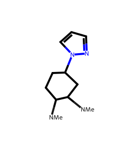 CNC1CCC(n2cccn2)CC1NC